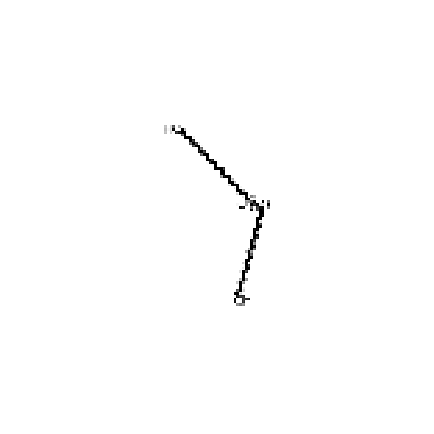 CCCCCCCCCCCCCCCCCC(=O)OOC(=O)CCCCCCCCCCCCCCCCCO